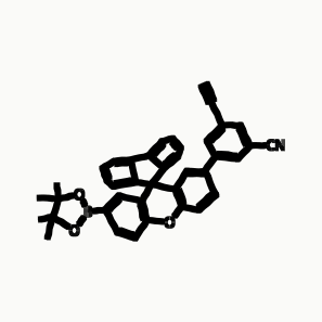 C#Cc1cc(C#N)cc(-c2ccc3c(c2)C2(c4cc(B5OC(C)(C)C(C)(C)O5)ccc4O3)c3ccccc3-c3ccccc32)c1